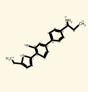 CCc1ccc(-c2ccc(-c3ccc(C(N)CC)cc3)cc2F)s1